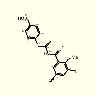 COc1c(C)cc(Cl)cc1C(=O)NC(=S)Nc1ccc(C(=O)O)cc1